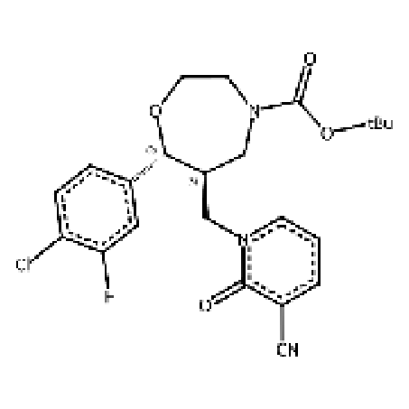 CC(C)(C)OC(=O)N1CCO[C@@H](c2ccc(Cl)c(F)c2)[C@H](Cn2cccc(C#N)c2=O)C1